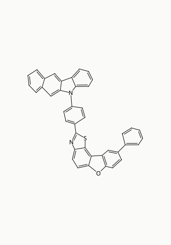 c1ccc(-c2ccc3oc4ccc5nc(-c6ccc(-n7c8ccccc8c8cc9ccccc9cc87)cc6)sc5c4c3c2)cc1